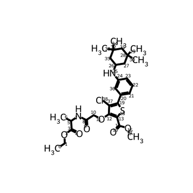 CCOC(=O)C(C)NC(=O)COc1c(C(=O)OC)sc(-c2cccc(NC3CC(C)(C)CC(C)(C)C3)c2)c1Cl